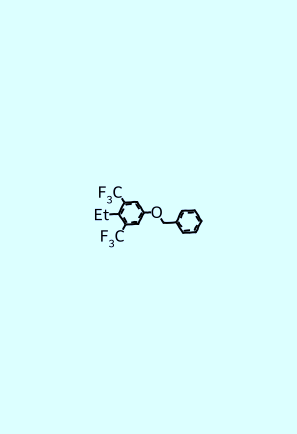 CCc1c(C(F)(F)F)cc(OCc2ccccc2)cc1C(F)(F)F